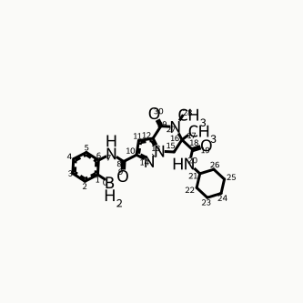 Bc1ccccc1NC(=O)c1cc2n(n1)CC(C)(C(=O)NC1CCCCC1)N(C)C2=O